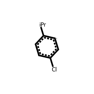 CC(C)c1[c]cc(Cl)cc1